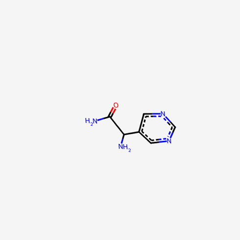 NC(=O)C(N)c1cncnc1